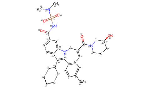 COc1ccc2c(c1)C=C(C(=O)N1CCC[C@H](O)C1)Cn1c-2c(C2CCCCC2)c2ccc(C(=O)NS(=O)(=O)N(C)C)cc21